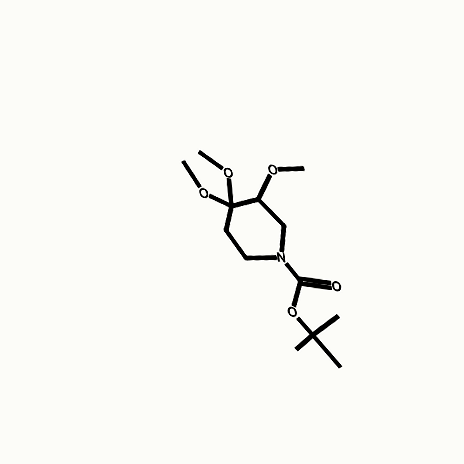 COC1CN(C(=O)OC(C)(C)C)CCC1(OC)OC